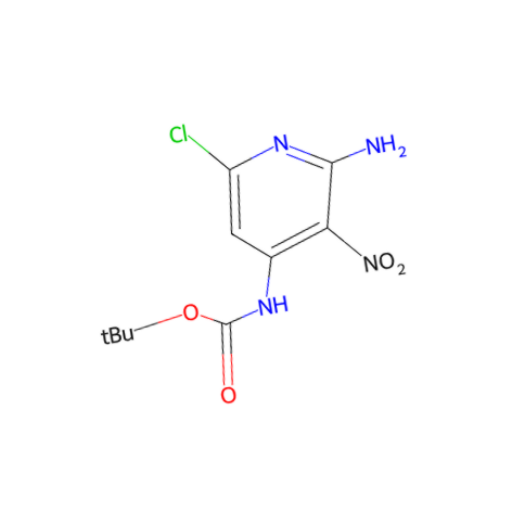 CC(C)(C)OC(=O)Nc1cc(Cl)nc(N)c1[N+](=O)[O-]